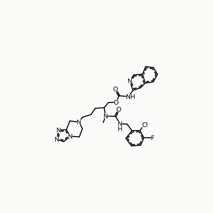 CN(C(=O)NCc1cccc(F)c1Cl)C(CCCN1CCn2cnnc2C1)COC(=O)Nc1cc2ccccc2cn1